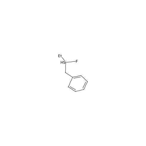 CC[SiH](F)Cc1ccccc1